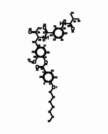 CCCCCCCOc1ccc(C(=O)Oc2ccc(CC(NC(=O)c3cccc(NC(=O)C(C)C)c3)C(C)=O)cc2OC)cc1